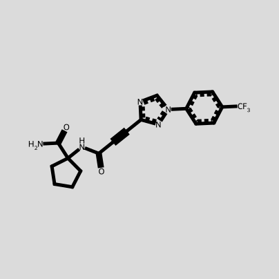 NC(=O)C1(NC(=O)C#Cc2ncn(-c3ccc(C(F)(F)F)cc3)n2)CCCC1